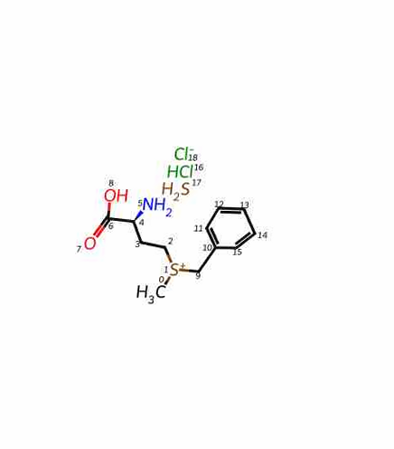 C[S+](CC[C@H](N)C(=O)O)Cc1ccccc1.Cl.S.[Cl-]